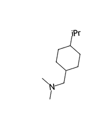 CC(C)C1CCC(CN(C)C)CC1